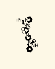 CC(C)CCN1C(=O)[C@H](CC(=O)N2CCC(N3Cc4ccccc4NC3=O)CC2)S[C@H]1c1ccccn1